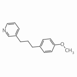 COc1ccc(CCCc2cccnc2)cc1